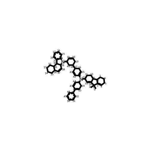 CC1(C)C2=CCCCC2C2CCC(N(C3=CCC(C4CC=CC(N5c6ccccc6C6C7CCCCC7C=CC65)C4)C=C3)C3C=CC(c4ccccc4)=CC3)C=C21